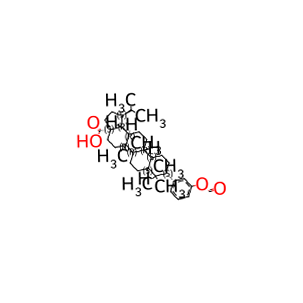 CC(C)[C@@H]1CC[C@]2(C(=O)O)CC[C@]3(C)[C@H](CC[C@@H]4[C@@]5(C)CC[C@H](c6cccc(OC=O)c6)C(C)(C)[C@@H]5CC[C@]43C)[C@@H]12